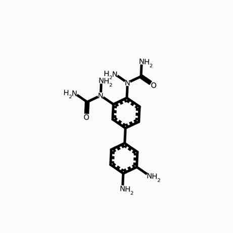 NC(=O)N(N)c1ccc(-c2ccc(N)c(N)c2)cc1N(N)C(N)=O